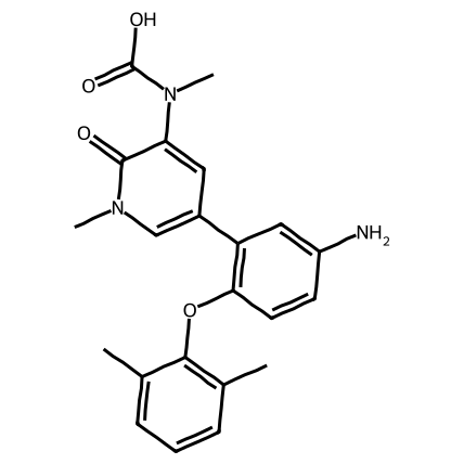 Cc1cccc(C)c1Oc1ccc(N)cc1-c1cc(N(C)C(=O)O)c(=O)n(C)c1